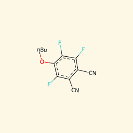 CCCCOc1c(F)c(F)c(C#N)c(C#N)c1F